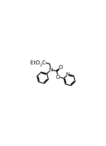 CCOC(=O)CN(C(=O)Oc1ccccn1)c1ccccc1